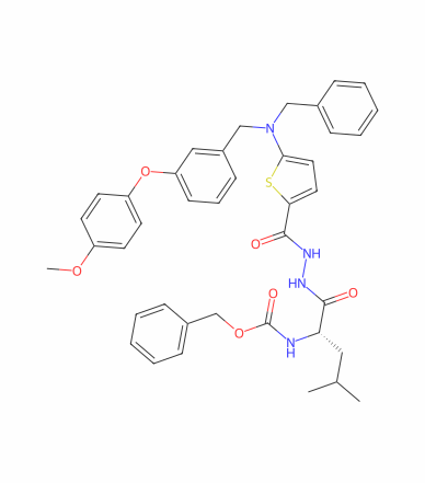 COc1ccc(Oc2cccc(CN(Cc3ccccc3)c3ccc(C(=O)NNC(=O)[C@H](CC(C)C)NC(=O)OCc4ccccc4)s3)c2)cc1